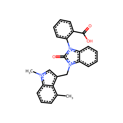 Cc1cccc2c1c(Cn1c(=O)n(-c3ccccc3C(=O)O)c3ccccc31)cn2C